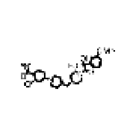 COc1cccc([C@@](O)(C(=O)N2CCC(CC3CCN(c4ccc(C(=O)N(C)C)c(Cl)c4)CC3)CC2)C(F)(F)F)c1